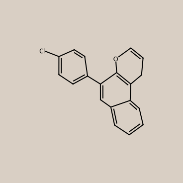 Clc1ccc(-c2cc3ccccc3c3c2OC=CC3)cc1